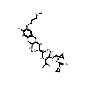 COCCCOc1cc(C[C@@H](C[C@H](N)[C@@H](O)C[C@H](C(=O)NCC2(NC(=O)C3CC3)CC2)C(C)C)C(C)C)ccc1F